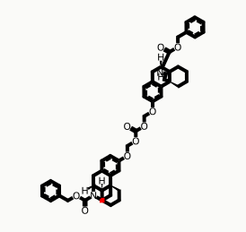 O=C(OCOc1ccc2c(c1)[C@@]13CCCC[C@H]1[C@@H](C2)N(C(=O)OCc1ccccc1)CC3)OCOc1ccc2c(c1)[C@@]13CCCC[C@H]1[C@@H](C2)N(C(=O)OCc1ccccc1)CC3